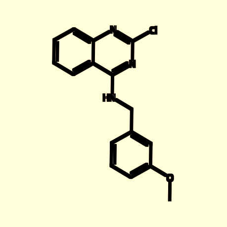 COc1cccc(CNc2nc(Cl)nc3ccccc23)c1